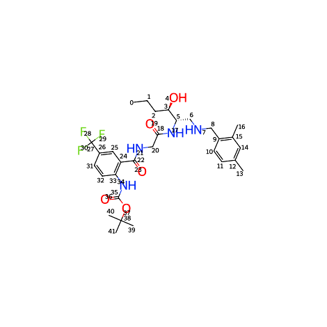 CCC[C@@H](O)[C@H](CNCc1ccc(C)cc1C)NC(=O)CNC(=O)c1cc(C(F)(F)F)ccc1NC(=O)OC(C)(C)C